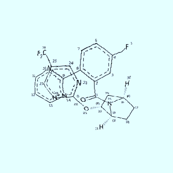 O=C(c1cc(F)ccc1-c1ncccn1)N1[C@@H]2CC[C@H]1[C@H](Oc1ncc(C(F)(F)F)cn1)C2